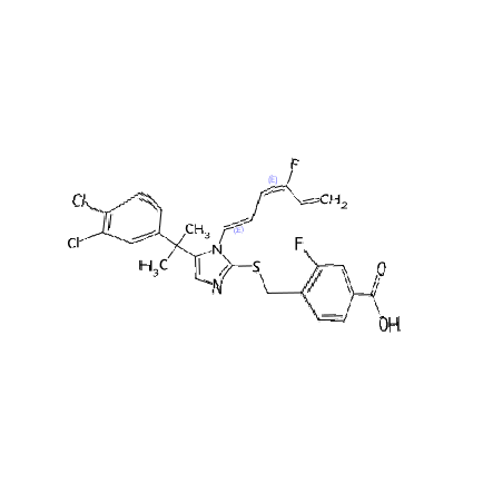 C=C/C(F)=C\C=C\n1c(C(C)(C)c2ccc(Cl)c(Cl)c2)cnc1SCc1ccc(C(=O)O)cc1F